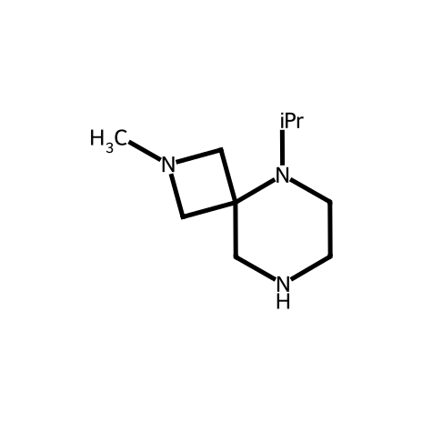 CC(C)N1CCNCC12CN(C)C2